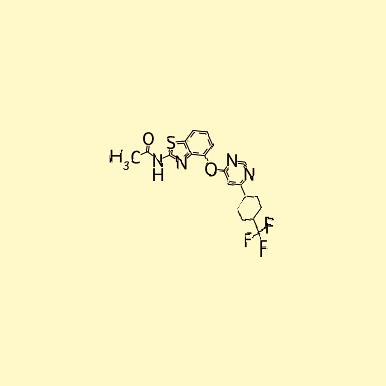 CC(=O)Nc1nc2c(Oc3cc(C4CCC(C(F)(F)F)CC4)ncn3)cccc2s1